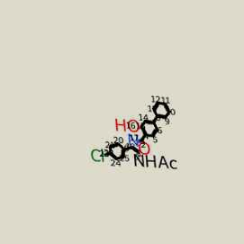 CC(=O)Nc1oc(-c2ccc(-c3ccccc3)cc2O)nc1-c1ccc(Cl)cc1